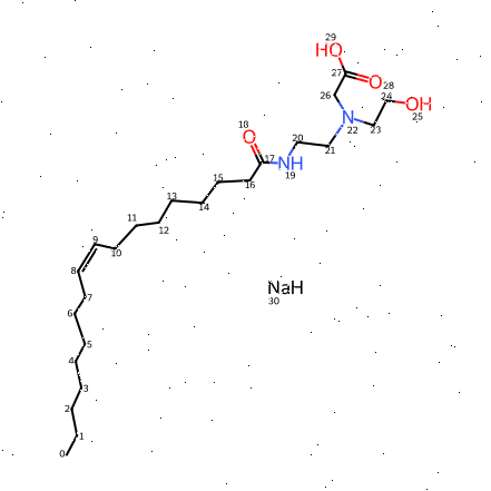 CCCCCCCC/C=C\CCCCCCCC(=O)NCCN(CCO)CC(=O)O.[NaH]